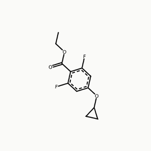 CCOC(=O)c1c(F)cc(OC2CC2)cc1F